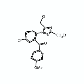 CCOC(=O)c1nc(CCl)n(-c2ccc(Cl)cc2C(=O)c2ccc(OC)cc2)n1